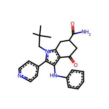 CC(C)(C)Cn1c2c(c(Nc3ccccc3)c1-c1ccncc1)C(=O)CC(C(N)=O)C2